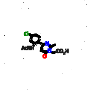 CC(=O)Nc1cc(Cl)ccc1-c1cc(=O)n(CC(=O)O)c(C)n1